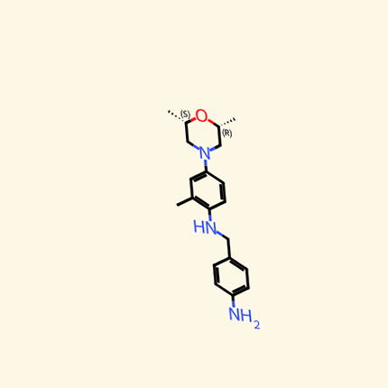 Cc1cc(N2C[C@@H](C)O[C@@H](C)C2)ccc1NCc1ccc(N)cc1